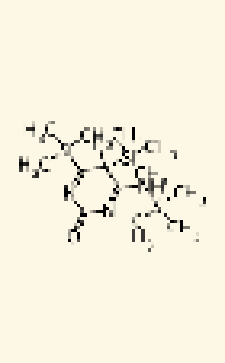 C[Si](C)(C)NC1=NC(=O)N=C([Si](C)(C)C)C1(F)[Si](C)(C)C